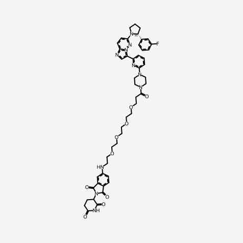 O=C1CCC(N2C(=O)c3ccc(NCCOCCOCCOCCOCCC(=O)N4CCN(c5cccc(-c6cnc7ccc(N8CCC[C@@H]8c8cccc(F)c8)nn67)n5)CC4)cc3C2=O)C(=O)N1